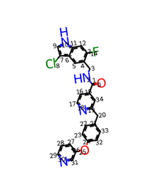 O=C(NCc1cc2c(Cl)c[nH]c2cc1F)c1ccnc(Cc2ccc(Oc3cccnc3)cc2)c1